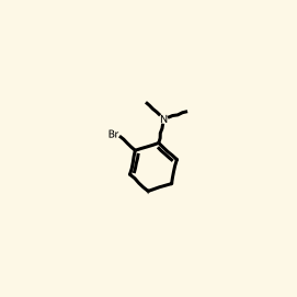 CN(C)C1=CC[CH]C=C1Br